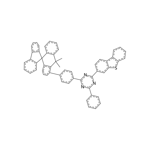 CC1(C)c2ccccc2C2(c3ccccc3-c3ccccc32)c2cccc(-c3ccc(-c4nc(-c5ccccc5)nc(-c5ccc6c(c5)sc5ccccc56)n4)cc3)c21